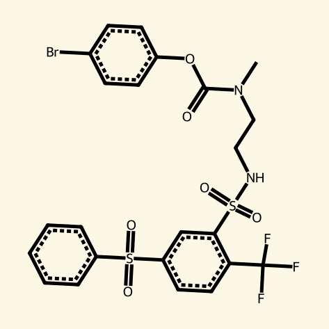 CN(CCNS(=O)(=O)c1cc(S(=O)(=O)c2ccccc2)ccc1C(F)(F)F)C(=O)Oc1ccc(Br)cc1